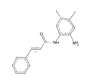 Cc1cc(N)c(NC(=O)/C=C/c2ccccc2)cc1C